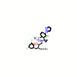 CC(=O)NC(Cc1cc(F)cc(F)c1)C(O)CNC1(c2c(C)ccc(-n3cccn3)c2F)CC1